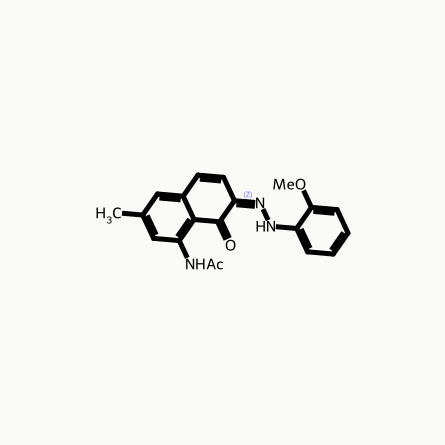 COc1ccccc1N/N=C1/C=Cc2cc(C)cc(NC(C)=O)c2C1=O